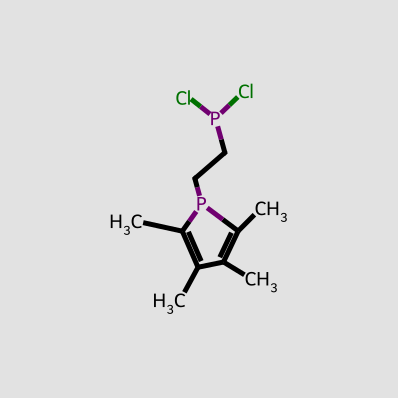 Cc1c(C)c(C)p(CCP(Cl)Cl)c1C